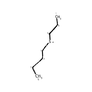 CC[CH]CSCCC